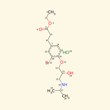 CCOC(=O)CCc1ccc(OCC(O)CNC(C)C)c(Br)c1.Cl